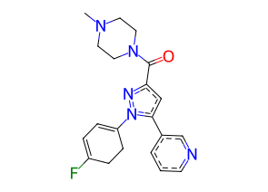 CN1CCN(C(=O)c2cc(-c3cccnc3)n(C3=CC=C(F)CC3)n2)CC1